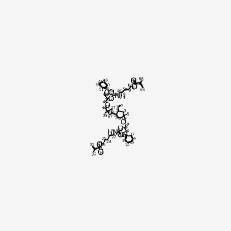 C=CC1CC(C)(COCC(COc2ccccc2)OC(=O)NCCCCCOC(=O)C(=C)C)CCC1C1CC(C)(COCC(COc2ccccc2)OC(=O)NCCCCCOC(=O)C(=C)C)C1